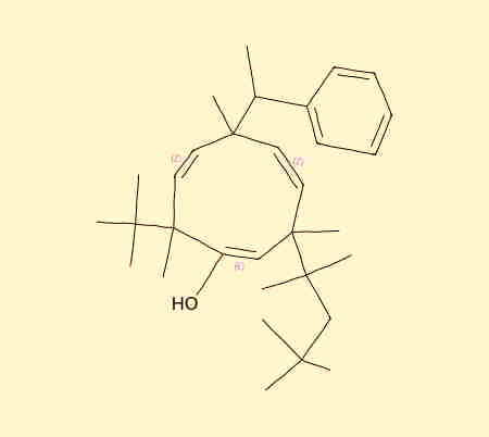 CC(c1ccccc1)C1(C)/C=C\C(C)(C(C)(C)CC(C)(C)C)/C=C(/O)C(C)(C(C)(C)C)/C=C\1